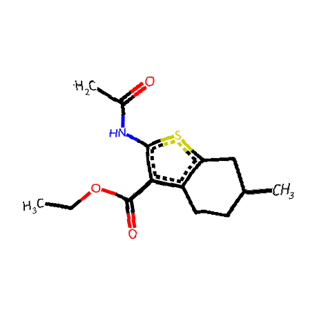 [CH2]C(=O)Nc1sc2c(c1C(=O)OCC)CCC(C)C2